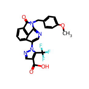 COc1ccc(CN2C(=O)c3cccc4c(-n5ncc(C(=O)O)c5C(F)(F)F)cnc2c34)cc1